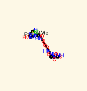 CC[C@@H]1C(O)N(C)c2cnc(Nc3ccc(C(=O)NCCOCCOCCOCCNCC(=O)Nc4cccc5c4CN(C4CCC(=O)NC4=O)C5=O)cc3OC)nc2N1Cc1ccc(Cl)s1